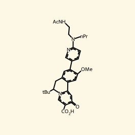 CCCN(CCNC(C)=O)c1ccc(-c2cc3c(cc2OC)-c2cc(=O)c(C(=O)O)cn2C(C(C)(C)C)C3)cn1